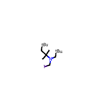 CC(C)(C)CN(CI)C(C)(C)CC(C)(C)C